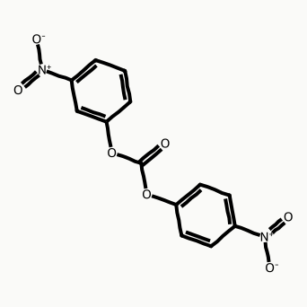 O=C(Oc1ccc([N+](=O)[O-])cc1)Oc1cccc([N+](=O)[O-])c1